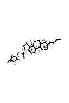 CCOC[C@@]1(O)CC[C@@H]2[C@H]3CC[C@]4(C)[C@@H](C(=O)Cn5nnc(C)n5)CC[C@H]4[C@@H]3CC[C@@]2(C)C1